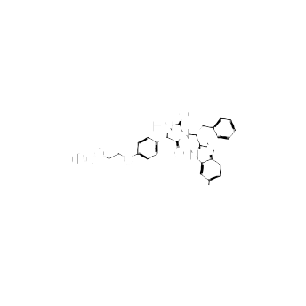 CC(C)(C)OCCOc1ccc([C@H]2NC(=O)N([C@@H](Cc3ccccc3)C3=NC4=CC(I)=CCC4=N3)C2=O)cc1